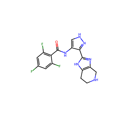 O=C(Nc1c[nH]nc1-c1nc2c([nH]1)CCNC2)c1c(F)cc(F)cc1F